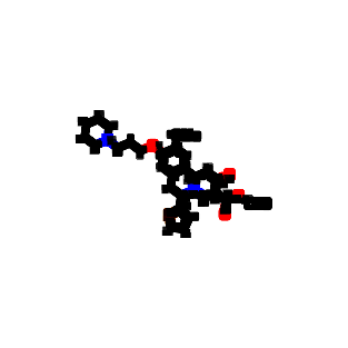 COc1cc2c(cc1OCCCN1CCCCC1)CC(c1cccs1)n1cc(C(=O)OC=O)c(=O)cc1-2